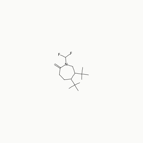 C=C1CCC(C(C)(C)C)C(C(C)(C)C)CN1C(F)F